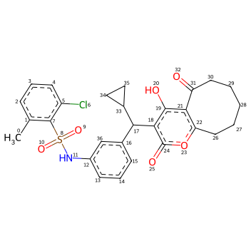 Cc1cccc(Cl)c1S(=O)(=O)Nc1cccc(C(c2c(O)c3c(oc2=O)CCCCCC3=O)C2CC2)c1